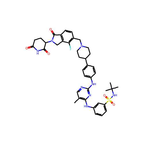 Cc1cnc(Nc2ccc(C3CCN(Cc4ccc5c(c4F)CN(C4CCC(=O)NC4=O)C5=O)CC3)cc2)nc1Nc1cccc(S(=O)(=O)NC(C)(C)C)c1